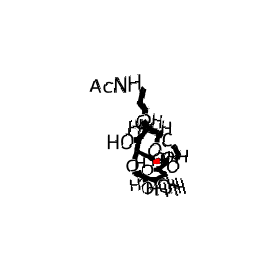 CC(=O)NCCCO[C@H]1[C@H]2CCCO[C@H]3[C@H](O)[C@@H](O)C(OC([C@@H](CO)O2)[C@@H]1O)O[C@@H]3CO